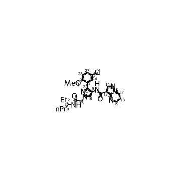 CCCC(CC)NC(=O)Cn1cc(NC(=O)c2cnn3cccnc23)c(-c2cc(Cl)ccc2OC)n1